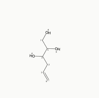 [CH]=CCC(O)C(O)CO